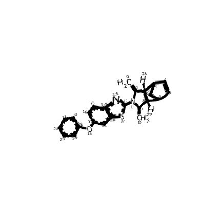 C=C1[C@@H]2C3C=CC(C3)[C@@H]2C(=C)N1c1nc2ccc(Oc3ccccc3)cc2s1